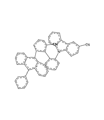 N#Cc1ccc2c(c1)c1ccccc1n2-c1ccccc1-c1c(C#N)cccc1-c1c2ccccc2c(-c2ccccc2)c2ccccc12